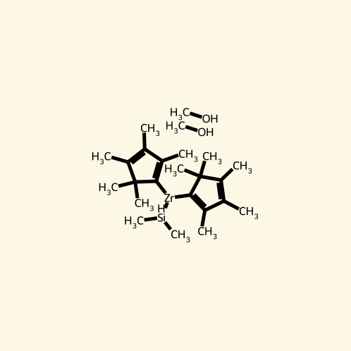 CC1=C(C)C(C)(C)[C]([Zr]([C]2=C(C)C(C)=C(C)C2(C)C)[SiH](C)C)=C1C.CO.CO